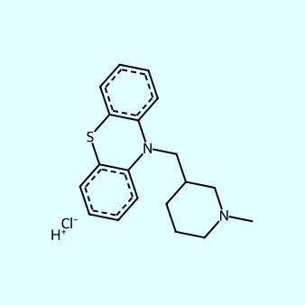 CN1CCCC(CN2c3ccccc3Sc3ccccc32)C1.[Cl-].[H+]